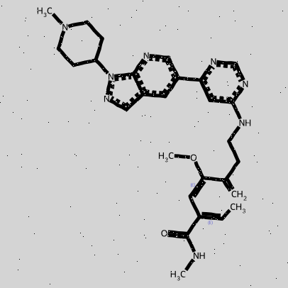 C=C(CCNc1cc(-c2cnc3c(cnn3C3CCN(C)CC3)c2)ncn1)/C(=C\C(=C/C)C(=O)NC)OC